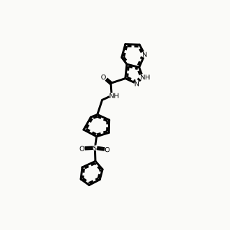 O=C(NCc1ccc(S(=O)(=O)c2ccccc2)cc1)c1n[nH]c2ncccc12